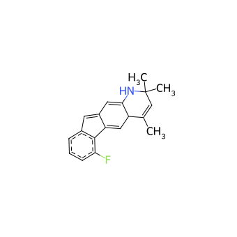 CC1=CC(C)(C)NC2=CC3=Cc4cccc(F)c4C3=CC12